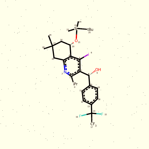 CC(C)c1nc2c(c(I)c1[C@H](O)c1ccc(C(F)(F)C(F)(F)F)cc1)[C@@H](O[Si](C)(C)C(C)(C)C)CC(C)(C)C2